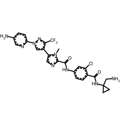 Cn1c(-c2cn(-c3ccc(N)cn3)nc2C(F)(F)F)cnc1C(=O)Nc1ccc(C(=O)NC2(CN)CC2)c(Cl)c1